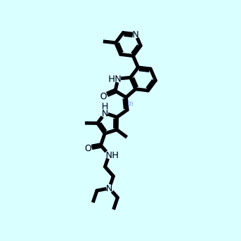 CCN(CC)CCNC(=O)c1c(C)[nH]c(/C=C2\C(=O)Nc3c2cccc3-c2cncc(C)c2)c1C